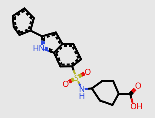 O=C(O)C1CCC(NS(=O)(=O)c2ccc3cc(-c4ccccc4)[nH]c3c2)CC1